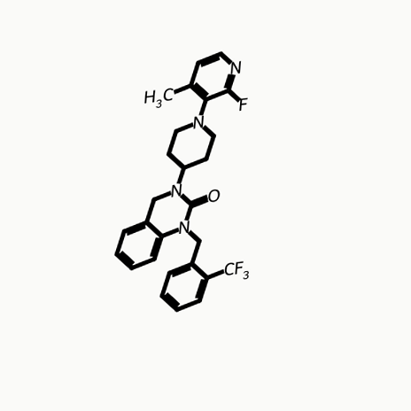 Cc1ccnc(F)c1N1CCC(N2Cc3ccccc3N(Cc3ccccc3C(F)(F)F)C2=O)CC1